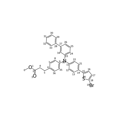 COC(=O)CCc1ccc(N(c2ccc(-c3ccc(Br)s3)cc2)c2cccc(-c3ccccc3)c2)cc1